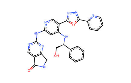 O=C1NCc2nc(Nc3cc(N[C@H](CO)c4ccccc4)c(-c4nnc(-c5ccccn5)o4)cn3)ncc21